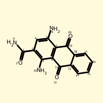 NC(=O)c1cc(N)c2c(c1N)C(=O)c1ccccc1C2=O